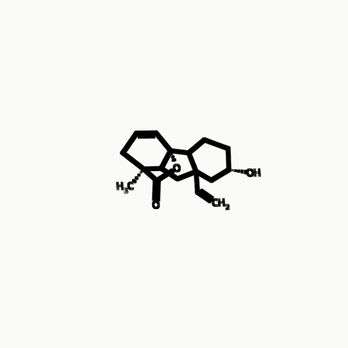 C=CC12CC3[C@@]4(C=CC[C@]3(C)C(=O)O4)C1CC[C@H](O)C2